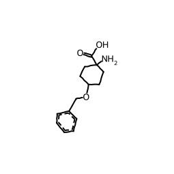 NC1(C(=O)O)CCC(OCc2ccccc2)CC1